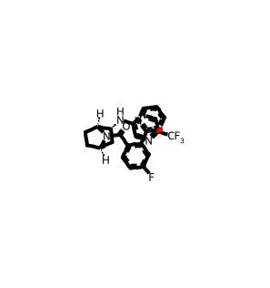 O=C(c1ccc(F)cc1-c1ncccn1)N1[C@@H]2CC[C@H]1[C@H](Nc1cnc(C(F)(F)F)cn1)C2